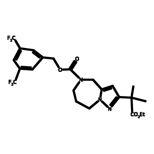 CCOC(=O)C(C)(C)c1cc2n(n1)CCCN(C(=O)OCc1cc(C(F)(F)F)cc(C(F)(F)F)c1)C2